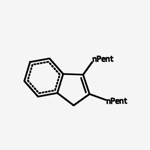 CCCCCC1=C(CCCCC)c2ccccc2C1